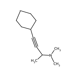 CC(C#CC1CC[CH]CC1)N(C)C